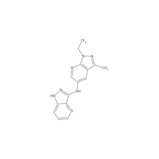 Cc1nn(CC(F)(F)F)c2ncc(Nc3n[nH]c4cccnc34)cc12